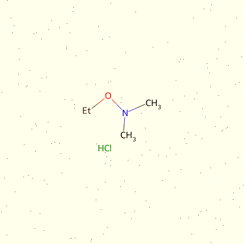 CCON(C)C.Cl